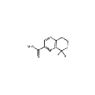 COC(=O)c1ccc2c(n1)C(F)(F)CCC2